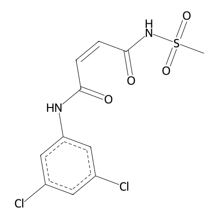 CS(=O)(=O)NC(=O)/C=C\C(=O)Nc1cc(Cl)cc(Cl)c1